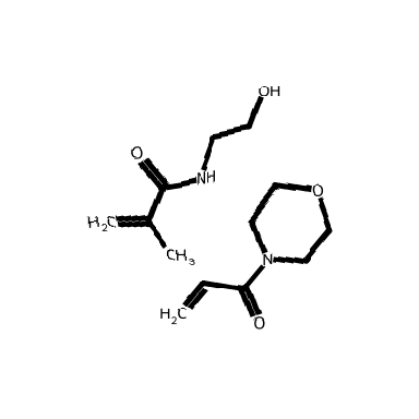 C=C(C)C(=O)NCCO.C=CC(=O)N1CCOCC1